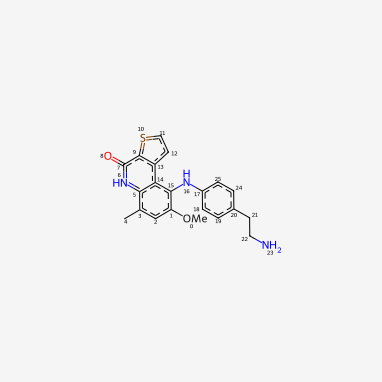 COc1cc(C)c2[nH]c(=O)c3sccc3c2c1Nc1ccc(CCN)cc1